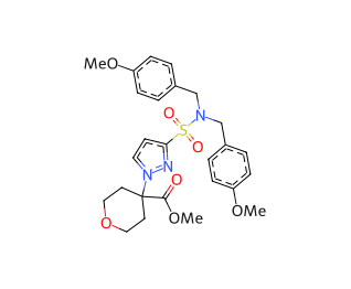 COC(=O)C1(n2ccc(S(=O)(=O)N(Cc3ccc(OC)cc3)Cc3ccc(OC)cc3)n2)CCOCC1